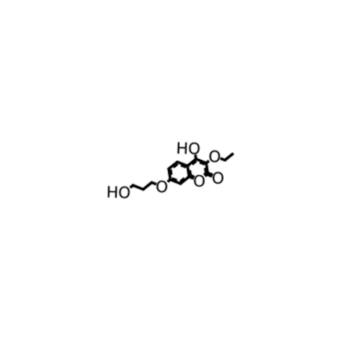 CCOc1c(O)c2ccc(OCCCO)cc2oc1=O